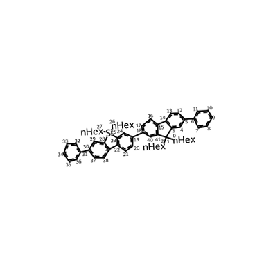 CCCCCCC1(CCCCCC)c2cc(-c3ccccc3)ccc2-c2ccc(-c3ccc4c(c3)[Si](CCCCCC)(CCCCCC)c3cc(-c5ccccc5)ccc3-4)cc21